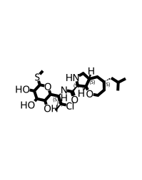 CSC1OC([C@H](NC(=O)[C@H]2NC[C@@H]3C[C@H](CC(C)C)CCO[C@H]32)[C@H](C)Cl)C(O)C(O)C1O